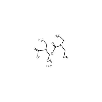 CCN(CC)C(=O)[O-].CCN(CC)C(=O)[O-].[Fe+2]